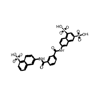 O=C(Nc1ccc2c(S(=O)(=O)O)cccc2c1)c1cccc(C(=O)Nc2ccc3c(S(=O)(=O)O)cc(S(=O)(=O)O)cc3c2)c1